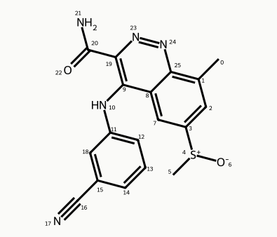 Cc1cc([S+](C)[O-])cc2c(Nc3cccc(C#N)c3)c(C(N)=O)nnc12